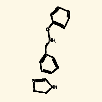 C1=NCCN1.c1ccc(CNOc2ccccc2)cc1